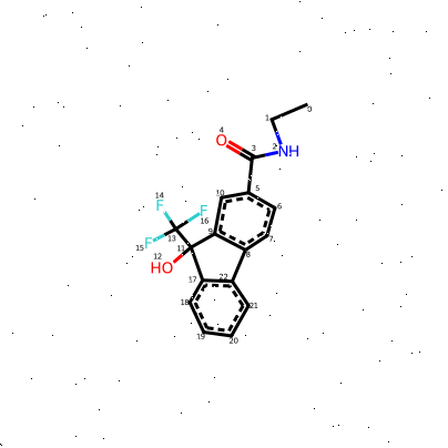 CCNC(=O)c1ccc2c(c1)C(O)(C(F)(F)F)c1ccccc1-2